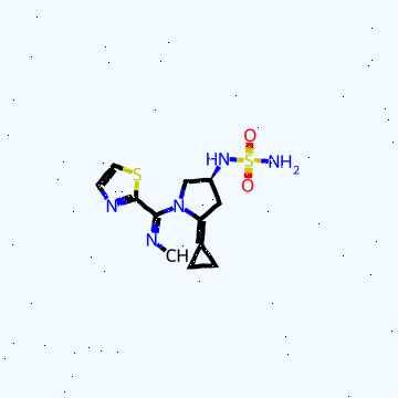 C/N=C(/c1nccs1)N1C[C@@H](NS(N)(=O)=O)CC1=C1CC1